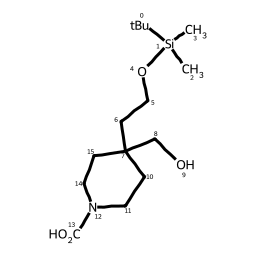 CC(C)(C)[Si](C)(C)OCCC1(CO)CCN(C(=O)O)CC1